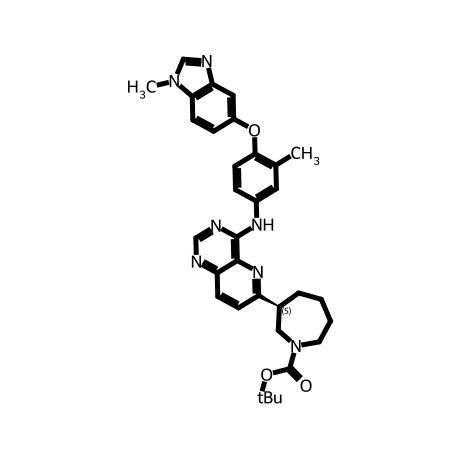 Cc1cc(Nc2ncnc3ccc([C@H]4CCCCN(C(=O)OC(C)(C)C)C4)nc23)ccc1Oc1ccc2c(c1)ncn2C